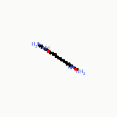 NCCCNCCCCCCCCCCCCCCCCCCCCNCCCN